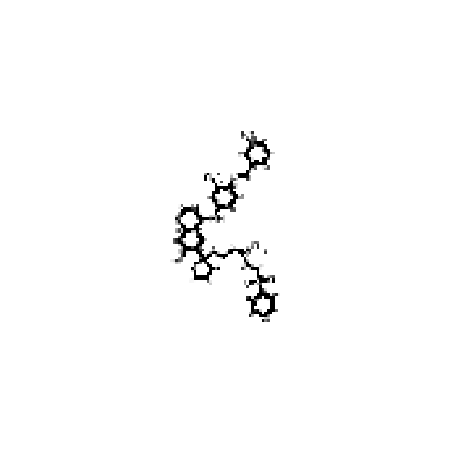 CN(CCCC1(c2cc3c(Nc4ccc(OCc5cccc(F)c5)c(Cl)c4)ncnc3cc2F)CC=CO1)CCS(=O)(=O)c1ccccc1